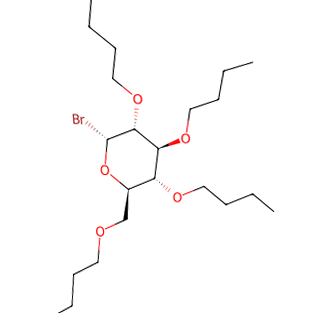 CCCCOC[C@H]1O[C@H](Br)[C@H](OCCCC)[C@@H](OCCCC)[C@@H]1OCCCC